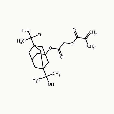 C=C(C)C(=O)OCC(=O)OC12CC3CC(C(C)(C)O)(C1)CC(C(C)(C)CC)(C3)C2